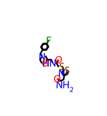 NC(=O)Cc1csc(SCC(=O)NCC2CN(Cc3ccc(F)cc3)CCO2)n1